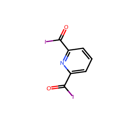 O=C(I)c1cccc(C(=O)I)n1